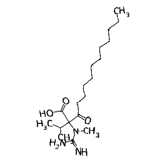 CCCCCCCCCCCC(=O)C(C(=O)O)(C(C)C)N(C)C(=N)N